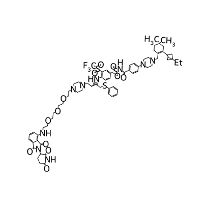 CCC12CC(C3=C(CN4CCN(c5ccc(C(=O)NS(=O)(=O)c6ccc(N[C@H](CCN7CCN(CCOCCOCCOCCNc8cccc9c8C(=O)N(C8CCC(=O)NC8=O)C9=O)CC7)CSc7ccccc7)c(S(=O)(=O)C(F)(F)F)c6)cc5)CC4)CCC(C)(C)C3)(C1)C2